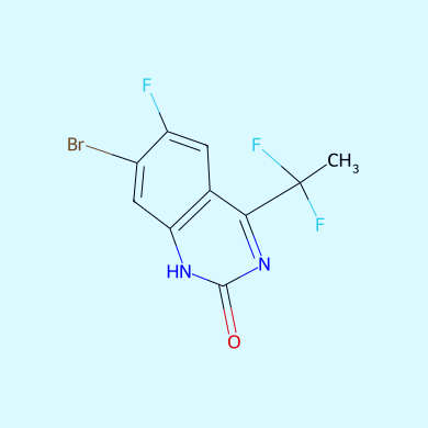 CC(F)(F)c1nc(=O)[nH]c2cc(Br)c(F)cc12